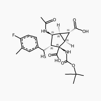 CC(=O)N[C@H]1[C@H]2[C@H](C(=O)O)[C@H]2[C@](NC(=O)OC(C)(C)C)(C(=O)O)[C@@H]1C(S)c1ccc(F)c(C)c1